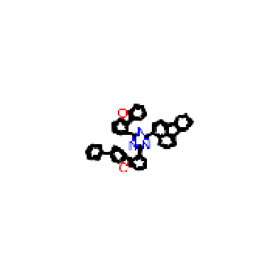 c1ccc(-c2ccc3c(c2)oc2cccc(-c4nc(-c5ccc6c7c(cccc57)-c5ccccc5-6)nc(-c5cccc6oc7ccccc7c56)n4)c23)cc1